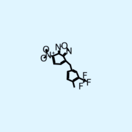 Cc1ccc(Cc2ccc([N+](=O)[O-])c3nonc23)cc1C(F)(F)F